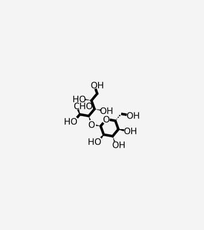 O=C[C@H](O)[C@@H](O[C@@H]1O[C@H](CO)[C@@H](O)[C@H](O)[C@H]1O)[C@@H](O)[C@H](O)CO